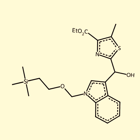 CCOC(=O)c1nc(C(O)c2cn(COCC[Si](C)(C)C)c3ccccc23)sc1C